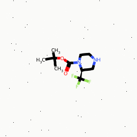 CC(C)(C)OC(=O)N1CCNC[C@H]1C(F)(F)F